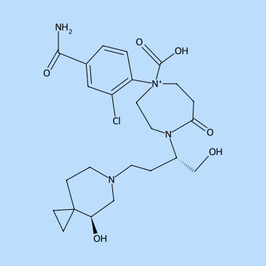 NC(=O)c1ccc([N+]2(C(=O)O)CCC(=O)N([C@H](CO)CCN3CCC4(CC4)[C@H](O)C3)CC2)c(Cl)c1